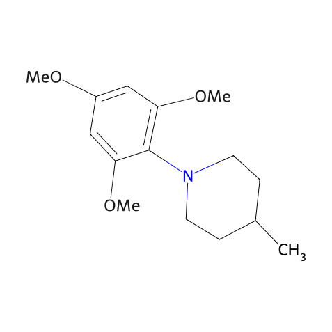 COc1cc(OC)c(N2CCC(C)CC2)c(OC)c1